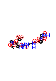 CCC(C)(C)C(=O)C(=O)N1CCCC[C@@H]1C(=O)O[C@@H](CCc1ccc(OC)c(OC)c1)c1cccc(NC(=O)CCC(=O)NCCCCNC(=O)COc2cccc3c2C(=O)N([C@H]2CCCC(=O)NC2=O)C3=O)c1